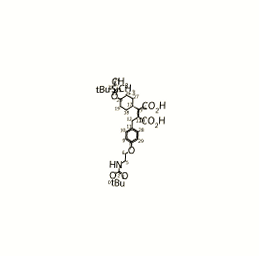 CC(C)(C)OC(=O)NCCOc1ccc(CC(C(=O)O)=C(C(=O)O)[C@H]2CC[C@@H](O[Si](C)(C)C(C)(C)C)CC2)cc1